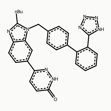 CCCCc1nc2ccc(-c3ccc(=O)[nH]n3)cc2n1Cc1ccc(-c2ccccc2-c2nnn[nH]2)cc1